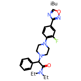 CC[C@H](C)c1nc(-c2ccc(N3CCN(C(C(=O)N(CC)CC)c4ccccc4)CC3)c(F)c2)no1